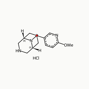 COc1ccc(CN2[C@@H]3CNC[C@H]2COC3)cn1.Cl